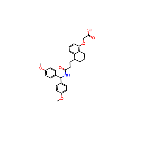 COc1ccc(C(NC(=O)CCC2CCCc3c(OCC(=O)O)cccc32)c2ccc(OC)cc2)cc1